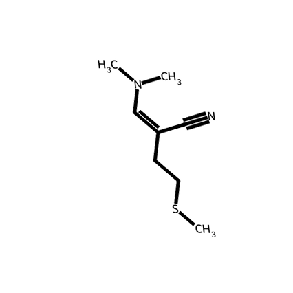 CSCCC(C#N)=CN(C)C